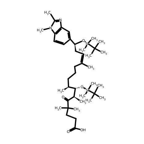 C/C(=C/C[C@H](O[Si](C)(C)C(C)(C)C)c1ccc2c(c1)nc(C)n2C)CCC[C@H](C)[C@H](O[Si](C)(C)C(C)(C)C)[C@@H](C)C(=O)C(C)(C)CCC(=O)O